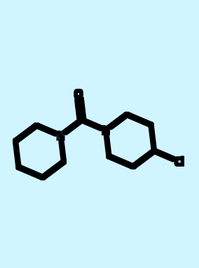 O=C(N1CCCCC1)N1CCC(Cl)CC1